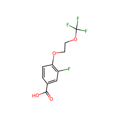 O=C(O)c1ccc(OCCOC(F)(F)F)c(F)c1